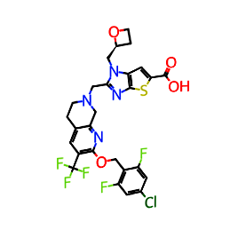 O=C(O)c1cc2c(nc(CN3CCc4cc(C(F)(F)F)c(OCc5c(F)cc(Cl)cc5F)nc4C3)n2C[C@@H]2CCO2)s1